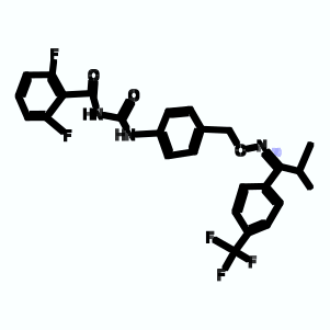 CC(C)/C(=N/OCc1ccc(NC(=O)NC(=O)c2c(F)cccc2F)cc1)c1ccc(C(F)(F)F)cc1